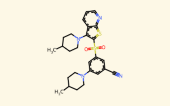 CC1CCN(c2cc(C#N)cc(S(=O)(=O)c3sc4ncccc4c3N3CCC(C)CC3)c2)CC1